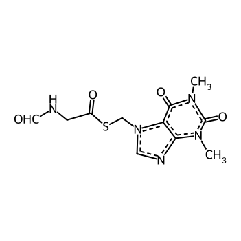 Cn1c(=O)c2c(ncn2CSC(=O)CNC=O)n(C)c1=O